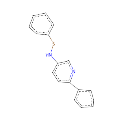 [c]1ccc(SNc2ccc(-c3ccccc3)nc2)cc1